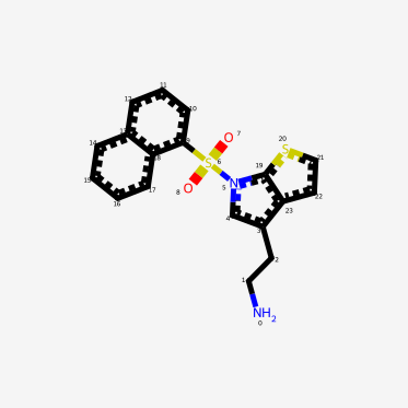 NCCc1cn(S(=O)(=O)c2cccc3ccccc23)c2sccc12